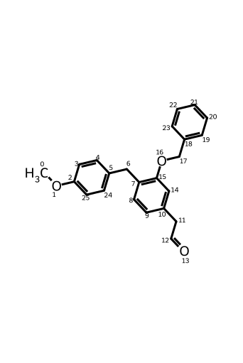 COc1ccc(Cc2ccc(CC=O)cc2OCc2ccccc2)cc1